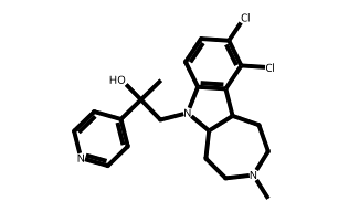 CN1CCC2c3c(ccc(Cl)c3Cl)N(CC(C)(O)c3ccncc3)C2CC1